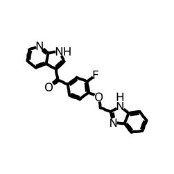 O=C(c1ccc(OCc2nc3ccccc3[nH]2)c(F)c1)c1c[nH]c2ncccc12